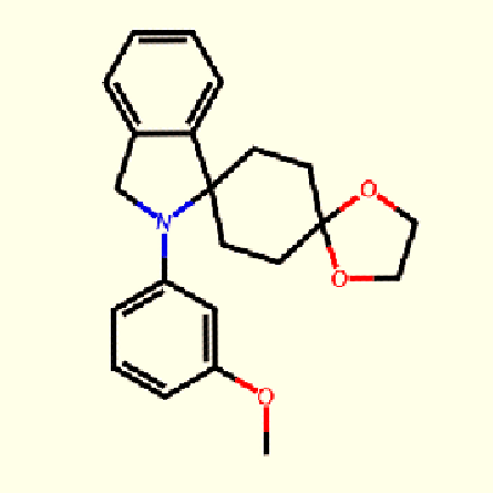 COc1cccc(N2Cc3ccccc3C23CCC2(CC3)OCCO2)c1